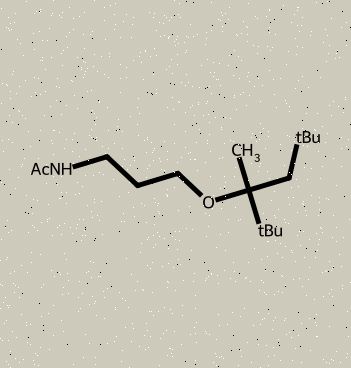 CC(=O)NCCCOC(C)(CC(C)(C)C)C(C)(C)C